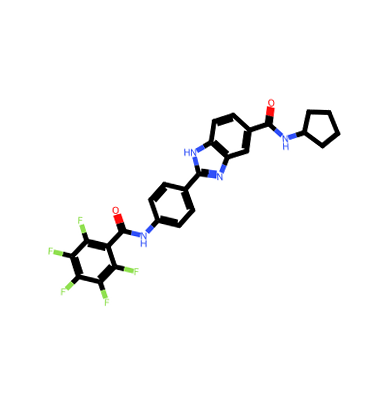 O=C(NC1CCCC1)c1ccc2[nH]c(-c3ccc(NC(=O)c4c(F)c(F)c(F)c(F)c4F)cc3)nc2c1